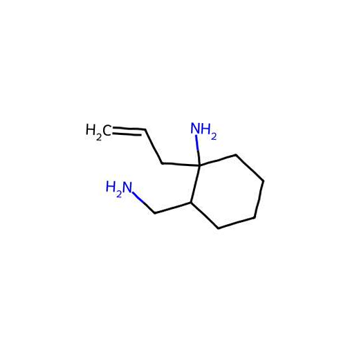 C=CCC1(N)CCCCC1CN